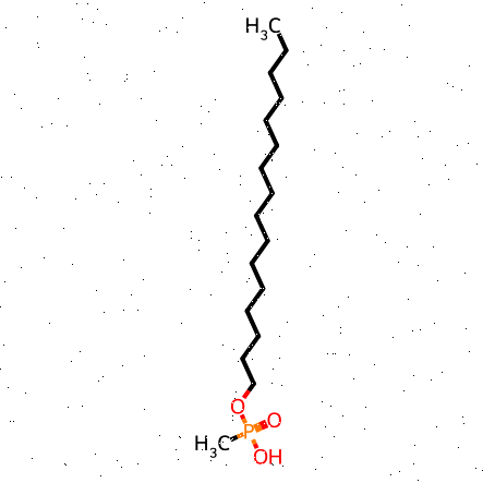 CCCCCCCCCCCCCCCCOP(C)(=O)O